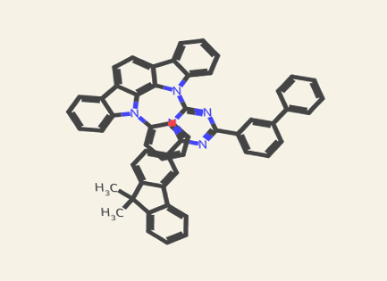 CC1(C)c2ccccc2-c2cc(-c3nc(-c4cccc(-c5ccccc5)c4)nc(-n4c5ccccc5c5ccc6c7ccccc7n(-c7ccccc7)c6c54)n3)ccc21